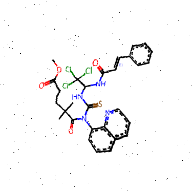 COC(=O)CCC(C)(C)C(=O)N(C(=S)NC(NC(=O)/C=C/c1ccccc1)C(Cl)(Cl)Cl)c1cccc2cccnc12